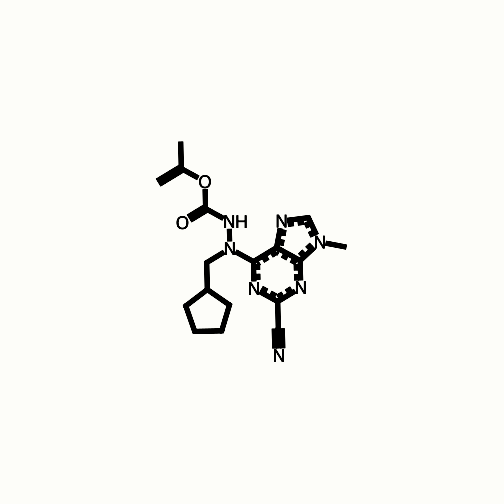 C=C(C)OC(=O)NN(CC1CCCC1)c1nc(C#N)nc2c1ncn2C